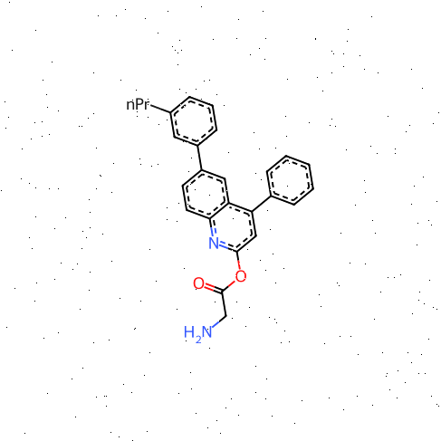 CCCc1cccc(-c2ccc3nc(OC(=O)CN)cc(-c4ccccc4)c3c2)c1